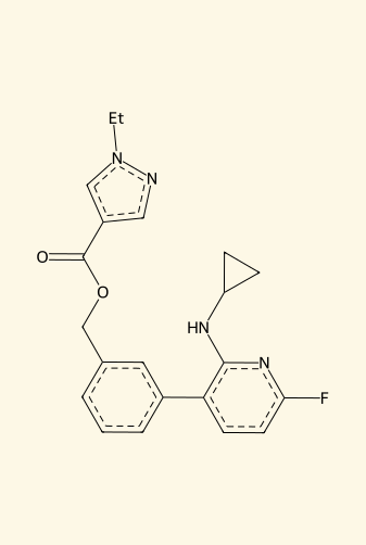 CCn1cc(C(=O)OCc2cccc(-c3ccc(F)nc3NC3CC3)c2)cn1